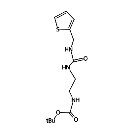 CC(C)(C)OC(=O)NCCNC(=O)NCc1cccs1